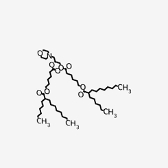 CCCCCCCCC(CCCCCC)C(=O)OCCCCCC(=O)OCC(CN1CCOCC1)OC(=O)CCCCCOC(=O)C(CCCCCC)CCCCCCCC